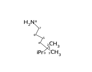 CC(C)C(C)(C)CCCCN